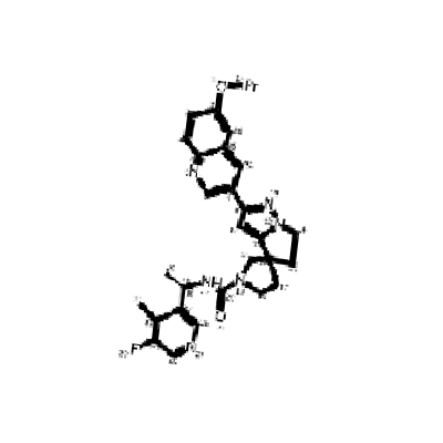 CC(C)Oc1ccc2ncc(-c3cc4n(n3)CCC43CCN(C(=O)N[C@H](C)C4=CN=CC(F)C4C)C3)cc2c1